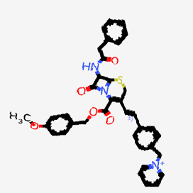 COc1ccc(COC(=O)C2=C(/C=C/c3ccc(C[n+]4ccccc4)cc3)CSC3C(NC(=O)Cc4ccccc4)C(=O)N23)cc1